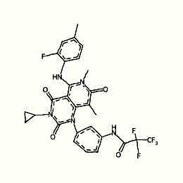 Cc1ccc(Nc2c3c(=O)n(C4CC4)c(=O)n(-c4cccc(NC(=O)C(F)(F)C(F)(F)F)c4)c3c(C)c(=O)n2C)c(F)c1